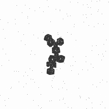 CC1(C)C(c2ccccc2)=Nc2c1ccc1c2c2ccccc2n1-c1ccc(N(c2ccccc2)c2ccc3ccccc3c2)cc1